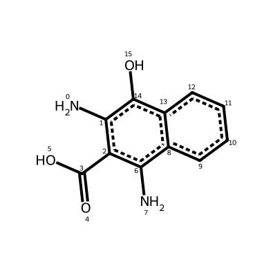 Nc1c(C(=O)O)c(N)c2ccccc2c1O